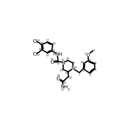 COc1cccc(CN2CCN(C(=O)Nc3ccc(Cl)c(Cl)c3)CC2CC(N)=O)c1